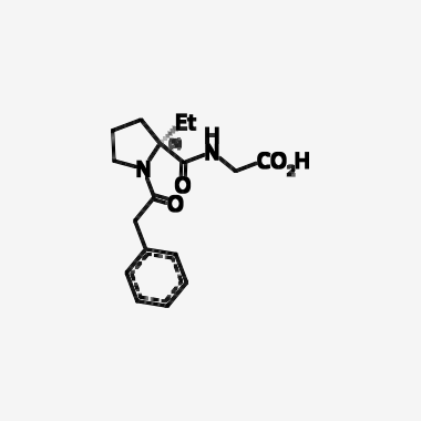 CC[C@@]1(C(=O)NCC(=O)O)CCCN1C(=O)Cc1ccccc1